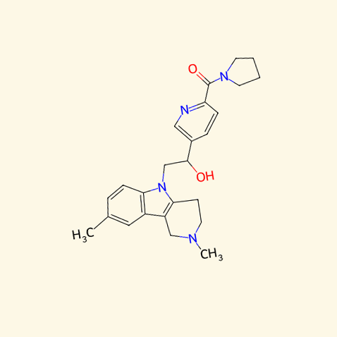 Cc1ccc2c(c1)c1c(n2CC(O)c2ccc(C(=O)N3CCCC3)nc2)CCN(C)C1